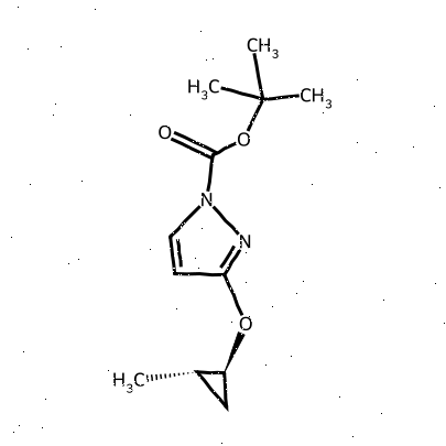 C[C@H]1C[C@@H]1Oc1ccn(C(=O)OC(C)(C)C)n1